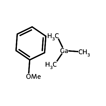 COc1ccccc1.[CH3][Ga]([CH3])[CH3]